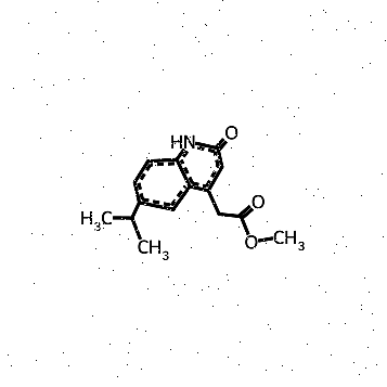 COC(=O)Cc1cc(=O)[nH]c2ccc(C(C)C)cc12